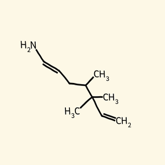 C=CC(C)(C)C(C)CC=CN